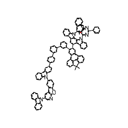 CC1(C)c2cccc3c4cc(-c5cccc(-c6cccc(-c7ccc(-c8ccc9c(c8)c8ccccc8n9-c8ccc9oc%10ncc(-n%11c%12ccccc%12c%12ccccc%12%11)cc%10c9c8)cc7)c6)c5)c(-c5cc6c7ccccc7n(-c7ccccc7)c6c6c5c5ccccc5n6-c5nc(-c6ccccc6)nc(-c6ccccc6)n5)cc4c4cccc1c4c23